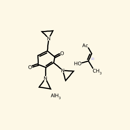 CC(=O)/C=C(/C)O.O=C1C=C(N2CC2)C(=O)C(N2CC2)=C1N1CC1.[AlH3]